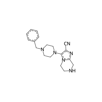 N#Cc1nc2n(c1N1CCN(Cc3ccccc3)CC1)CCNC2